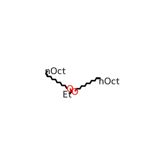 [CH2]CC(OCCCCCCCC/C=C\CCCCCCCC)OCCCCCCCC/C=C\CCCCCCCC